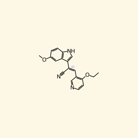 CCOc1ccncc1/C=C(\C#N)c1c[nH]c2ccc(OC)cc12